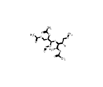 COC[C@H](F)C(OC(OP=O)[C@@H](COC(C)=O)OC(C)=O)[C@H](C)OC(C)=O